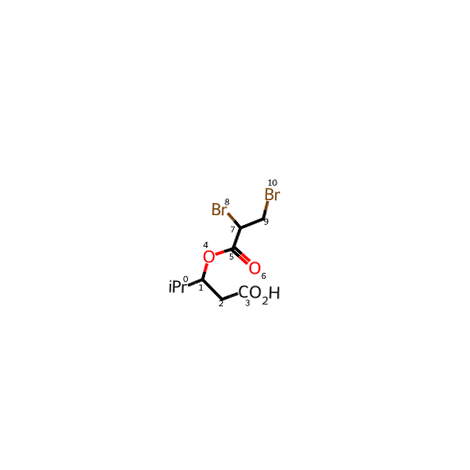 CC(C)C(CC(=O)O)OC(=O)C(Br)CBr